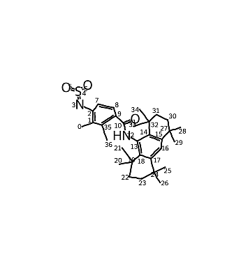 Cc1c(N=S(=O)=O)ccc(C(=O)Nc2c3c(cc4c2C(C)(C)CCC4(C)C)C(C)(C)CCC3(C)C)c1C